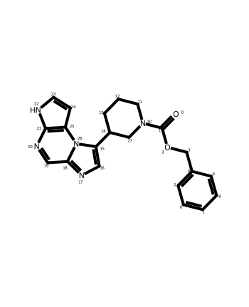 O=C(OCc1ccccc1)N1CCCC(c2cnc3cnc4[nH]ccc4n23)C1